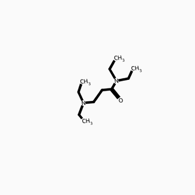 CCN(CC)CCC(=O)N(CC)CC